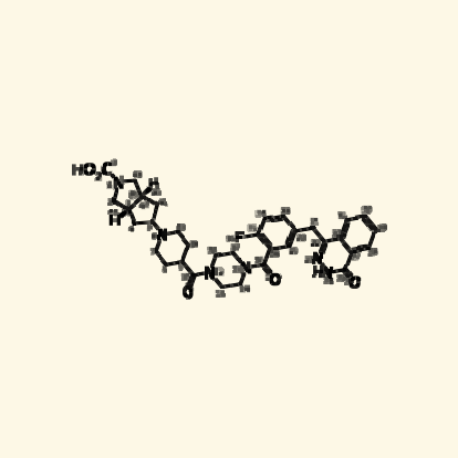 O=C(O)N1C[C@H]2CC(N3CCC(C(=O)N4CCN(C(=O)c5cc(Cc6n[nH]c(=O)c7ccccc67)ccc5F)CC4)CC3)C[C@H]2C1